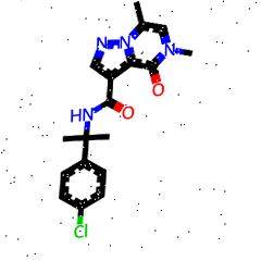 Cc1cn(C)c(=O)c2c(C(=O)NC(C)(C)c3ccc(Cl)cc3)cnn12